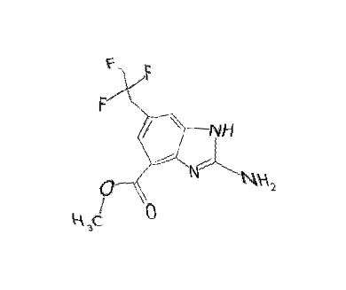 COC(=O)c1cc(C(F)(F)F)cc2[nH]c(N)nc12